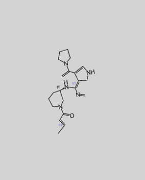 C=N/C(N[C@@H]1CCCN(C(=O)/C=C/C)C1)=C1\CNC=C1C(=C)N1CCCC1